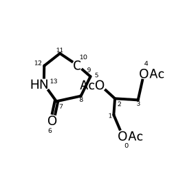 CC(=O)OCC(COC(C)=O)OC(C)=O.O=C1CCCCCN1